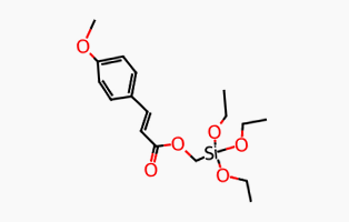 CCO[Si](COC(=O)/C=C/c1ccc(OC)cc1)(OCC)OCC